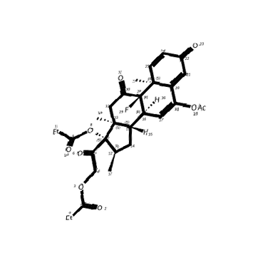 CCC(=O)OCC(=O)[C@]1(OC(=O)CC)[C@H](C)C[C@H]2[C@@H]3C=C(OC(C)=O)C4=CC(=O)C=C[C@]4(C)[C@@]3(F)C(=O)C[C@@]21C